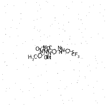 CCOCc1ccc(C)cc1N1C(=O)CS/C1=N\C(=O)Nc1ccc(-c2ncn(-c3ccc(SC(F)(F)F)cc3)n2)cc1C